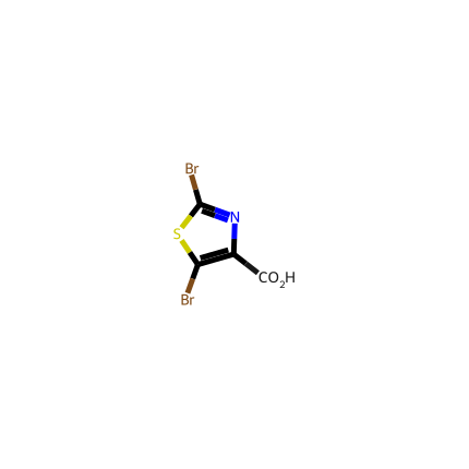 O=C(O)c1nc(Br)sc1Br